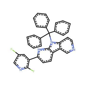 Fc1cnc(F)c(-c2ccc3c4cnccc4n(C(c4ccccc4)(c4ccccc4)c4ccccc4)c3n2)c1